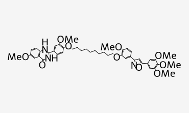 COc1ccc2c(c1)C(=O)NC(c1ccc(OCCCCCCCCCCOc3cc(-c4cc(-c5cc(OC)c(OC)c(OC)c5)on4)ccc3OC)c(OC)c1)N2